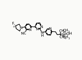 CC(C)(CCc1ccc(Nc2nccc(-c3ccc(N4CC[C@H](F)C4)c(C#N)n3)n2)cn1)[Si](C)(C)O